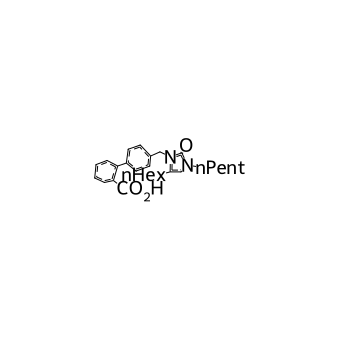 CCCCCCc1cn(CCCCC)c(=O)n1Cc1ccc(-c2ccccc2C(=O)O)cc1